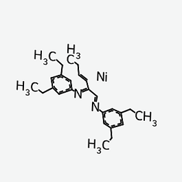 CCC=CC(C=Nc1cc(CC)cc(CC)c1)=Nc1cc(CC)cc(CC)c1.[Ni]